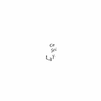 [Ce].[La].[Sn].[Y]